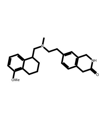 COc1cccc2c1CCCC2CN(C)CCc1ccc2c(c1)CNC(=O)C2